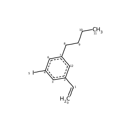 C=[C]c1cc(I)cc(CCCC)c1